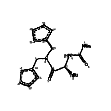 CCCC[C@H](NC(=O)NC)C(=O)N(Cc1cccs1)Cc1cccs1